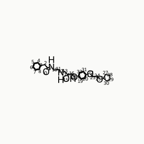 O=C(Cc1ccccc1)NCCNCC(O)COc1ccc(OCCOC2CCCC2)cc1